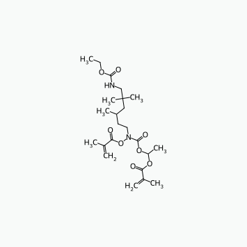 C=C(C)C(=O)OC(C)OC(=O)N(CCC(C)CC(C)(C)CNC(=O)OCC)OC(=O)C(=C)C